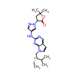 CC[C@H](Cn1ccc2cnc(Nc3cnn(C4CC(C)(C)OC4=O)c3)nc21)C(C)C